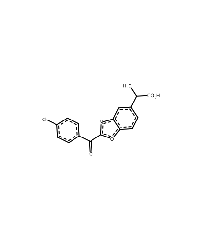 CC(C(=O)O)c1ccc2oc(C(=O)c3ccc(Cl)cc3)nc2c1